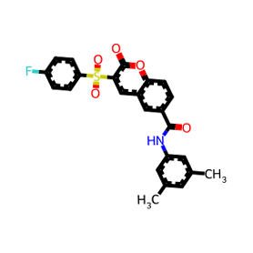 Cc1cc(C)cc(NC(=O)c2ccc3oc(=O)c(S(=O)(=O)c4ccc(F)cc4)cc3c2)c1